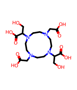 O=C(O)CN1CCN(C(CO)C(=O)O)CCN(CC(=O)O)CCN(C(CO)C(=O)O)CC1